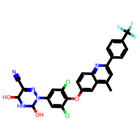 Cc1cc(-c2ccc(C(F)(F)F)cc2)nc2ccc(Oc3c(Cl)cc(N4N=C(C#N)C(O)NC4O)cc3Cl)cc12